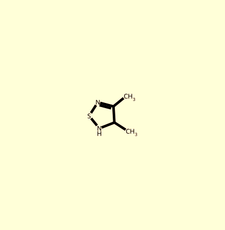 CC1=NSNC1C